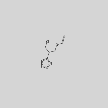 O=COCC(CCl)c1cscn1